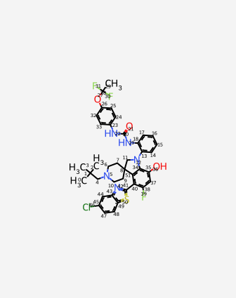 CC(C)(C)CN1CCC2(CC1)CN(c1ccccc1NC(=O)Nc1ccc(OC(C)(F)F)cc1)c1c(O)cc(F)c(-c3nc4cc(Cl)ccc4s3)c12